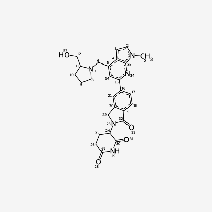 Cn1ccc2c(CN3CCCC3CO)cc(-c3ccc4c(c3)CN(C3CCC(=O)NC3=O)C4=O)nc21